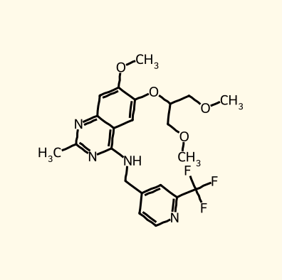 COCC(COC)Oc1cc2c(NCc3ccnc(C(F)(F)F)c3)nc(C)nc2cc1OC